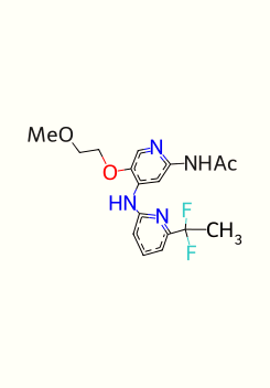 COCCOc1cnc(NC(C)=O)cc1Nc1cccc(C(C)(F)F)n1